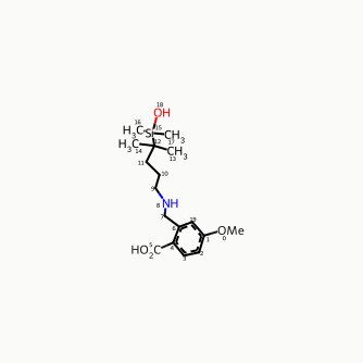 COc1ccc(C(=O)O)c(CNCCCC(C)(C)[Si](C)(C)O)c1